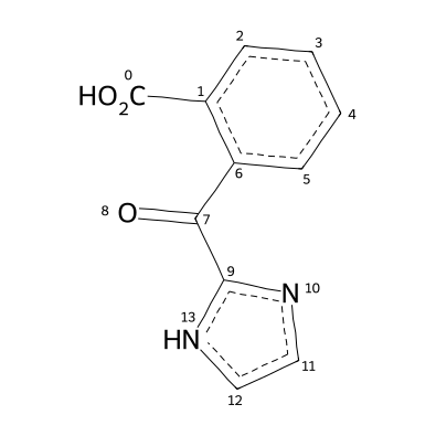 O=C(O)c1ccccc1C(=O)c1ncc[nH]1